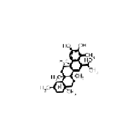 Cc1c(O)c(O)cc2c1C(C(C)O)C=C1[C@@]2(C)CC[C@@]2(C)[C@@H]3C[C@H](C)CC[C@]3(C)CC[C@]12C